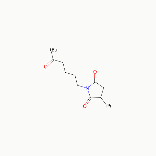 CC(C)C1CC(=O)N(CCCCC(=O)C(C)(C)C)C1=O